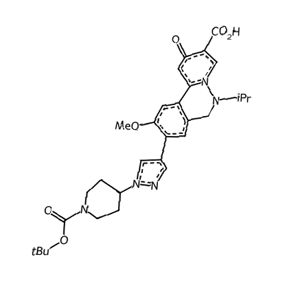 COc1cc2c(cc1-c1cnn(C3CCN(C(=O)OC(C)(C)C)CC3)c1)CN(C(C)C)n1cc(C(=O)O)c(=O)cc1-2